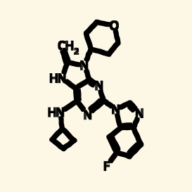 C=C1Nc2c(NC3CCC3)nc(-n3cnc4ccc(F)cc43)nc2N1C1CCOCC1